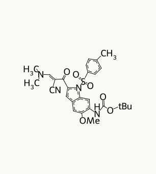 COc1cc2cc(C(=O)/C(C#N)=C/N(C)C)n(S(=O)(=O)c3ccc(C)cc3)c2cc1NC(=O)OC(C)(C)C